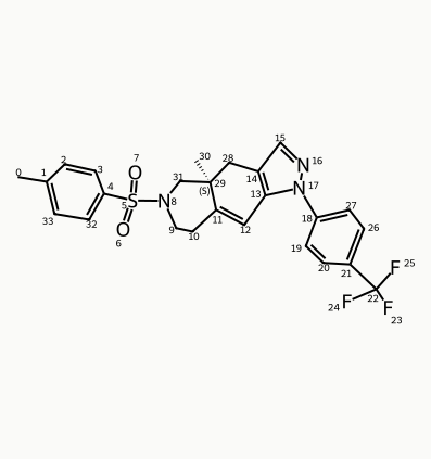 Cc1ccc(S(=O)(=O)N2CCC3=Cc4c(cnn4-c4ccc(C(F)(F)F)cc4)C[C@]3(C)C2)cc1